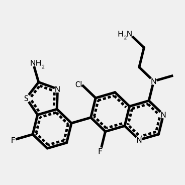 CN(CCN)c1ncnc2c(F)c(-c3ccc(F)c4sc(N)nc34)c(Cl)cc12